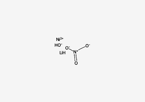 O=[N+]([O-])[O-].[LiH].[Ni+2].[OH-]